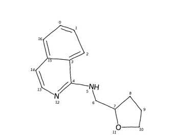 c1ccc2c(NCC3CCCO3)nccc2c1